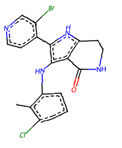 Cc1c(Cl)cccc1Nc1c(-c2ccncc2Br)[nH]c2c1C(=O)NCC2